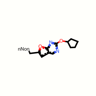 CCCCCCCCCCc1cc2cnc(OC3CCCC3)nc2o1